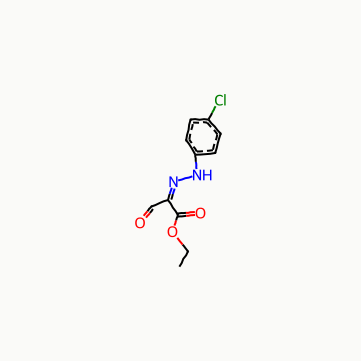 CCOC(=O)C(C=O)=NNc1ccc(Cl)cc1